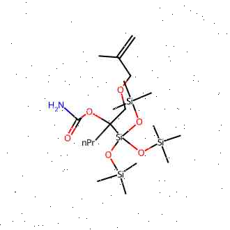 C=C(C)COCC(CCC)(OC(N)=O)[Si](O[Si](C)(C)C)(O[Si](C)(C)C)O[Si](C)(C)C